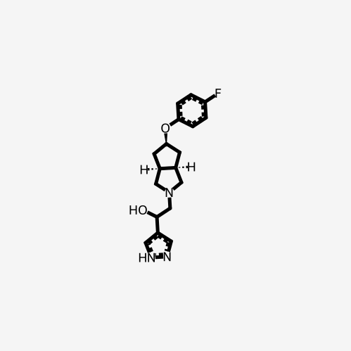 OC(CN1C[C@H]2C[C@@H](Oc3ccc(F)cc3)C[C@H]2C1)c1cn[nH]c1